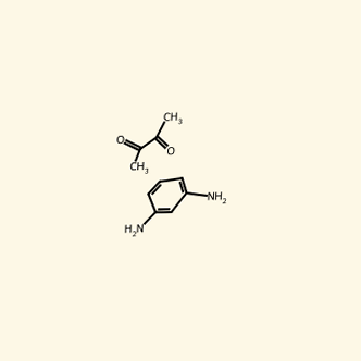 CC(=O)C(C)=O.Nc1cccc(N)c1